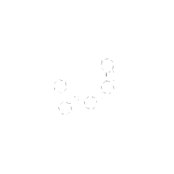 c1ccc(-c2ccccc2Nc2cccc(-c3ccc4oc5ccccc5c4c3)c2)cc1